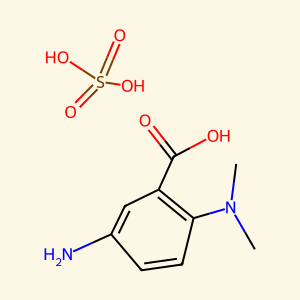 CN(C)c1ccc(N)cc1C(=O)O.O=S(=O)(O)O